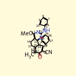 COc1nc(Nc2ccccc2)nc2c1CC[C@H]1[C@H](C)C(=O)C(C#N)=C[C@]21c1ccccc1